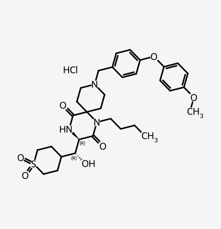 CCCCN1C(=O)[C@@H]([C@H](O)C2CCS(=O)(=O)CC2)NC(=O)C12CCN(Cc1ccc(Oc3ccc(OC)cc3)cc1)CC2.Cl